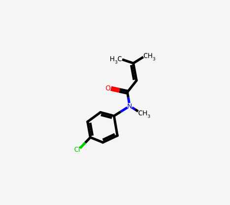 CC(C)=CC(=O)N(C)c1ccc(Cl)cc1